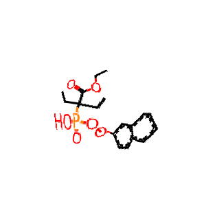 CCOC(=O)C(CC)(CC)P(=O)(O)OOc1ccc2ccccc2c1